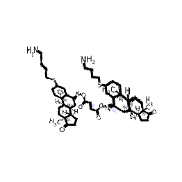 C[C@]12CCC(SCCCCN)CC1C(=NOC(=O)/C=C/C(=O)O/N=C1/C[C@@H]3[C@@H](CC[C@]4(C)C(=O)CC[C@@H]34)[C@@]3(C)CCC(SCCCCN)CC13)C[C@@H]1[C@H]2CC[C@]2(C)C(=O)CC[C@@H]12